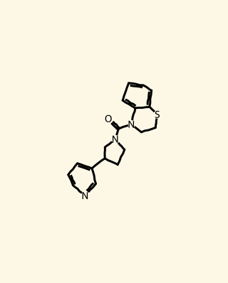 O=C(N1CCC(c2cccnc2)C1)N1CCSc2ccccc21